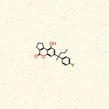 CCCC(C)(c1ccc(F)cc1)c1cc(O)c2c3c(c(=O)oc2c1)CCC3